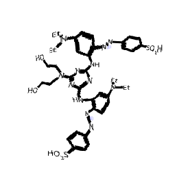 CCN(CC)c1ccc(/N=N/c2ccc(S(=O)(=O)O)cc2)c(Nc2nc(Nc3cc(N(CC)CC)ccc3/N=N/c3ccc(S(=O)(=O)O)cc3)nc(N(CCO)CCO)n2)c1